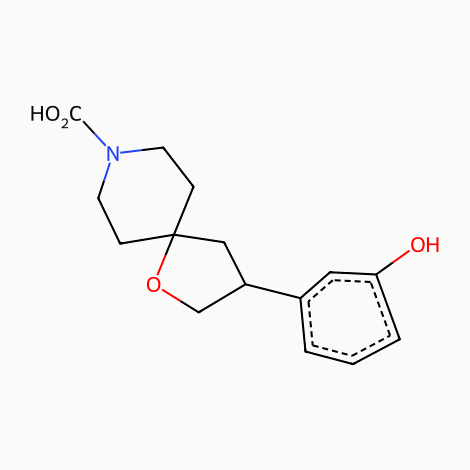 O=C(O)N1CCC2(CC1)CC(c1cccc(O)c1)CO2